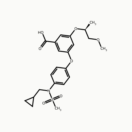 COC[C@H](C)Oc1cc(Oc2ccc(N(CC3CC3)S(C)(=O)=O)cc2)cc(C(=O)O)c1